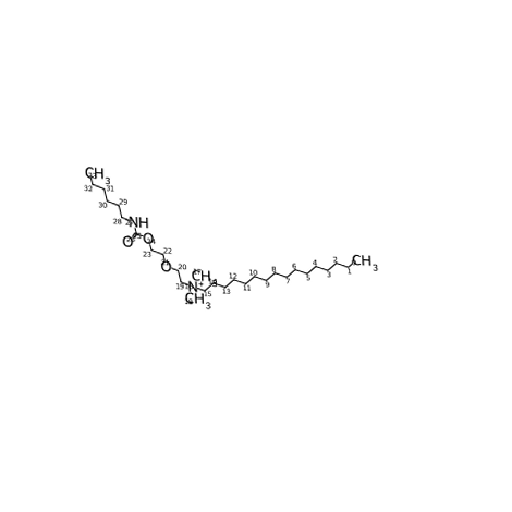 CCCCCCCCCCCCCCCC[N+](C)(C)CCOCCOC(=O)NCCCCCC